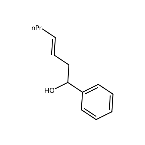 CCCC=CCC(O)c1ccccc1